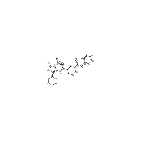 Cc1nn(C2CCCCC2)c2nc(C3CCCN(C(=O)Oc4ccccc4)C3)[nH]c(=O)c12